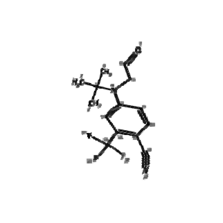 CC(C)(C)N(CC=O)c1ccc(C#N)c(C(F)(F)F)c1